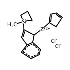 C[Si]1(C2=Cc3ccccc3[CH]2[Zr+2][C]2=CC=CC2)CCC1.[Cl-].[Cl-]